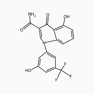 NC(=O)c1cn(-c2cc(O)cc(C(F)(F)F)c2)c2cccc(O)c2c1=O